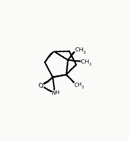 CC1(C)C2CCC1(C)C1(C2)NO1